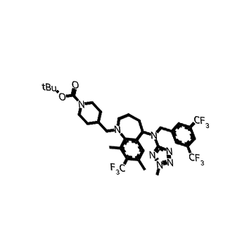 Cc1cc2c(c(C)c1C(F)(F)F)N(CC1CCN(C(=O)OC(C)(C)C)CC1)CCCC2N(Cc1cc(C(F)(F)F)cc(C(F)(F)F)c1)c1nnn(C)n1